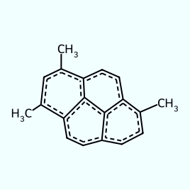 Cc1ccc2ccc3c(C)cc(C)c4ccc1c2c34